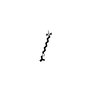 C=C(C)COCCCCCCCC[Si](I)(I)I